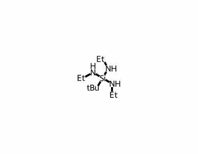 CCN[Si](NCC)(NCC)C(C)(C)C